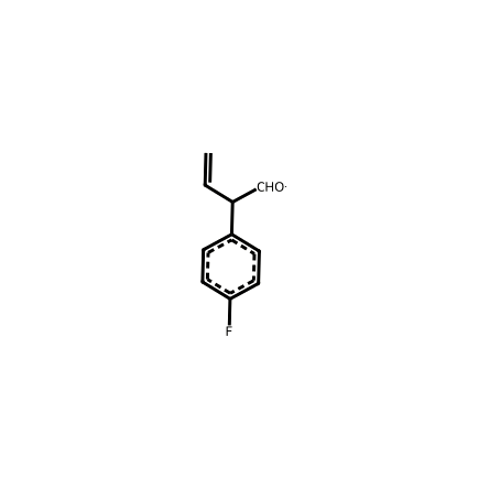 C=CC([C]=O)c1ccc(F)cc1